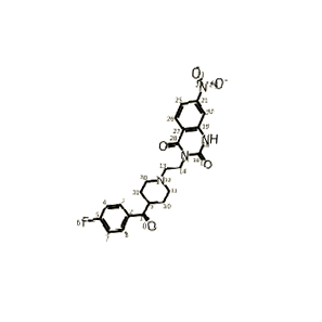 O=C(c1ccc(F)cc1)C1CCN(CCn2c(=O)[nH]c3cc([N+](=O)[O-])ccc3c2=O)CC1